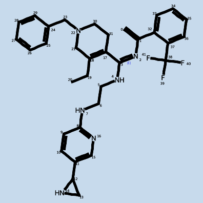 C=C(/N=C(/NCCNc1ccc(C2CN2)cn1)C1=C(CC)CN(Cc2ccccc2)CC1)c1ccccc1C(F)(F)F